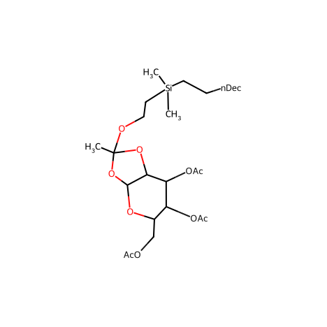 CCCCCCCCCCCC[Si](C)(C)CCOC1(C)OC2OC(COC(C)=O)C(OC(C)=O)C(OC(C)=O)C2O1